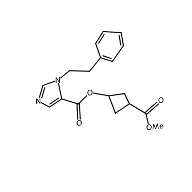 COC(=O)C1CC(OC(=O)c2cncn2CCc2ccccc2)C1